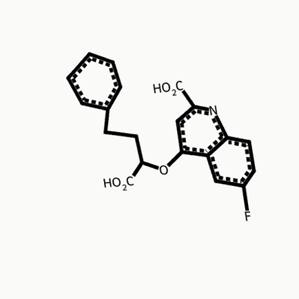 O=C(O)c1cc(OC(CCc2ccccc2)C(=O)O)c2cc(F)ccc2n1